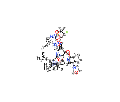 C[C@H]1CC/C=C\[C@@H]2C[C@@]2(C(=O)NS(=O)(=O)C2(CF)CC2)NC(=O)[C@@H]2C[C@@H](Oc3ncc(N4CCOCC4)c4ccccc34)CN2C(=O)[C@@H](N(C(=O)O)C(C)(C)C(F)(F)F)[C@H](C)C1